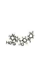 Cc1ccc(N(C)c2ccc3c(c2)OCC3CNc2cnccc2C(=O)O)cc1